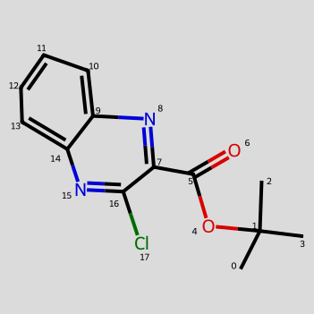 CC(C)(C)OC(=O)c1nc2ccccc2nc1Cl